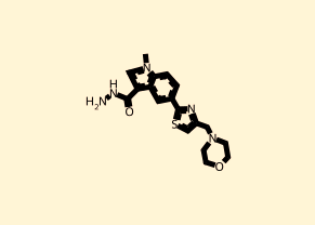 Cn1cc(C(=O)NN)c2cc(-c3nc(CN4CCOCC4)cs3)ccc21